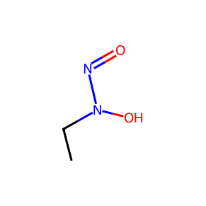 CCN(O)N=O